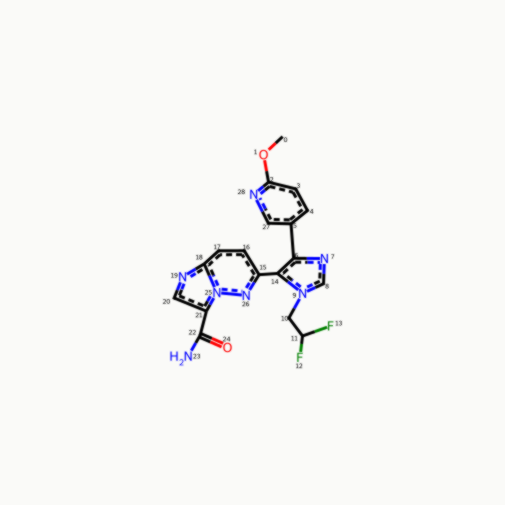 COc1ccc(-c2ncn(CC(F)F)c2-c2ccc3ncc(C(N)=O)n3n2)cn1